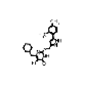 CCc1c(CC2CCCCC2)nc(SCc2cc(-c3ccc(C)cc3C)[nH]n2)[nH]c1=O